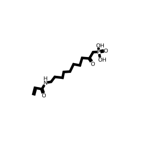 C=CC(=O)NCCCCCCCCC(=O)CP(=O)(O)O